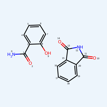 NC(=O)c1ccccc1O.O=C1NC(=O)c2ccccc21